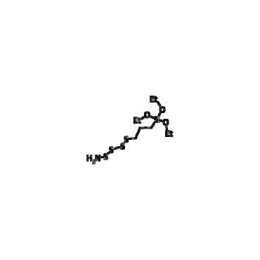 CCO[Si](CCCSSSSN)(OCC)OCC